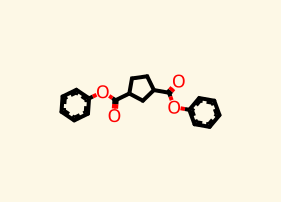 O=C(Oc1ccccc1)C1CCC(C(=O)Oc2ccccc2)C1